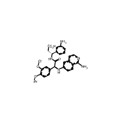 CCOc1cc(C(Nc2ccc3c(N)nccc3c2)C(=O)N[C@H](CC(=O)O)c2cccc(N)c2)ccc1OC(C)C